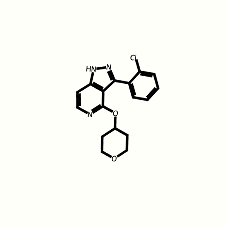 Clc1ccccc1-c1n[nH]c2ccnc(OC3CCOCC3)c12